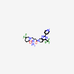 N[C@H](CC(=O)N1CCc2c(nc(-c3ccncc3)nc2C(F)(F)F)C1)CN1CC(F)(F)CCC1=O